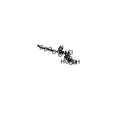 C#CCOCCOCCOCCOCCN1C(=O)C2(CN(c3nc(Cl)nc4c3cnn4[C@@H]3O[C@H](CO)[C@@H](O)[C@H]3O)C2)c2cnccc21